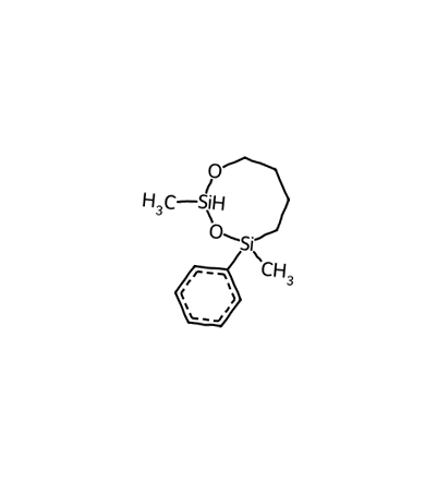 C[SiH]1OCCCC[Si](C)(c2ccccc2)O1